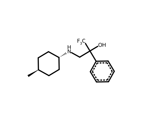 C[C@H]1CC[C@H](NCC(O)(c2ccccc2)C(F)(F)F)CC1